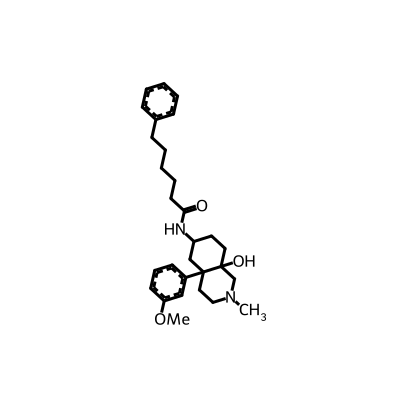 COc1cccc(C23CCN(C)CC2(O)CCC(NC(=O)CCCCCc2ccccc2)C3)c1